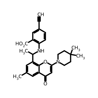 C#Cc1ccc(NC(C)c2cc(C)cc3c(=O)cc(N4CCC(C)(C)CC4)oc23)c(C(=O)O)c1